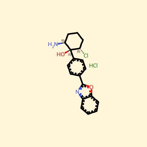 Cl.N[C@H]1CCC[C@H](Cl)[C@]1(O)c1ccc(-c2nc3ccccc3o2)cc1